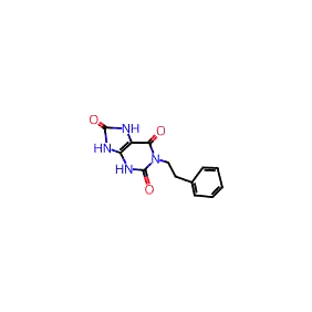 O=c1[nH]c2[nH]c(=O)n(CCc3ccccc3)c(=O)c2[nH]1